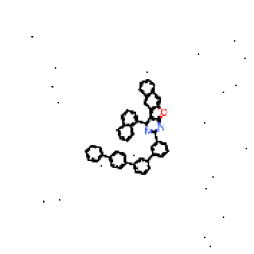 c1ccc(-c2ccc(-c3cccc(-c4cccc(-c5nc(-c6cccc7ccccc67)c6c(n5)oc5cc7ccccc7cc56)c4)c3)cc2)cc1